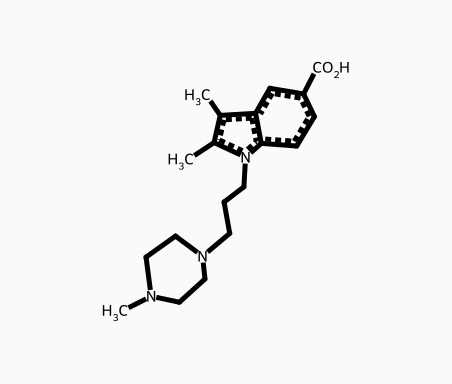 Cc1c(C)n(CCCN2CCN(C)CC2)c2ccc(C(=O)O)cc12